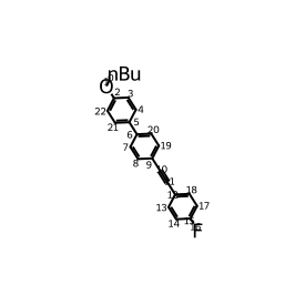 CCCCOc1ccc(-c2ccc(C#Cc3ccc(F)cc3)cc2)cc1